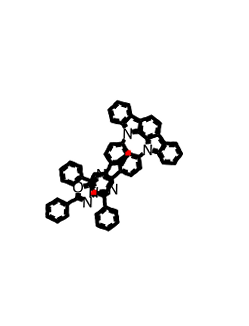 c1ccc(-c2nc(-c3ccccc3)nc(-c3ccc(-n4c5ccccc5c5ccc6c7ccccc7n(-c7ccc(-c8ccc9nc(-c%10ccccc%10)oc9c8)cc7)c6c54)cc3)n2)cc1